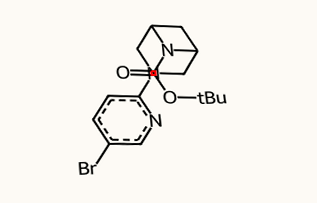 CC(C)(C)OC(=O)N1C2CC1CN(c1ccc(Br)cn1)C2